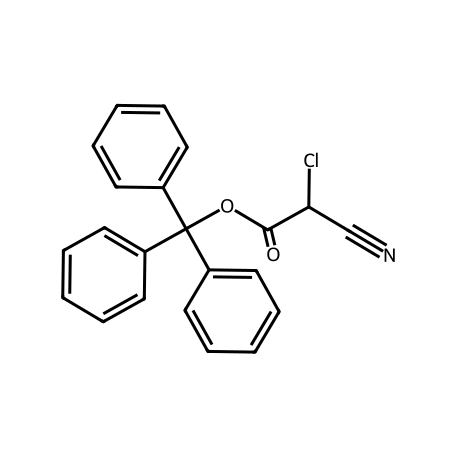 N#CC(Cl)C(=O)OC(c1ccccc1)(c1ccccc1)c1ccccc1